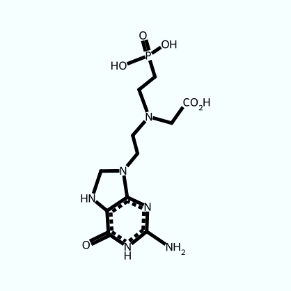 Nc1nc2c(c(=O)[nH]1)NCN2CCN(CCP(=O)(O)O)CC(=O)O